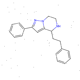 c1ccc(CCC2NCCn3nc(-c4ccccc4)cc32)cc1